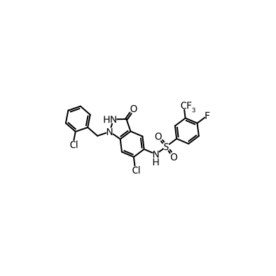 O=c1[nH]n(Cc2ccccc2Cl)c2cc(Cl)c(NS(=O)(=O)c3ccc(F)c(C(F)(F)F)c3)cc12